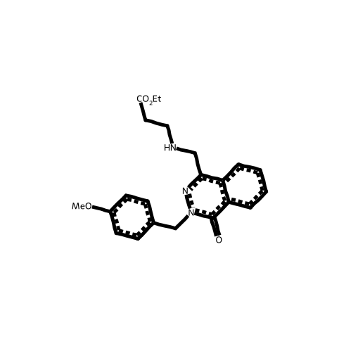 CCOC(=O)CCNCc1nn(Cc2ccc(OC)cc2)c(=O)c2ccccc12